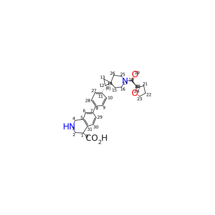 O=C(O)C1CNCc2cc(-c3ccc([C@@H]4CC45CCN(C(=O)[C@H]4CCCO4)CC5)cc3)ccc21